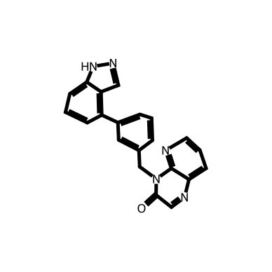 O=c1cnc2cccnc2n1Cc1cccc(-c2cccc3[nH]ncc23)c1